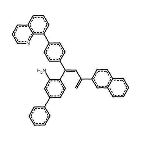 C=C(/C=C(/c1ccc(-c2cccc3cccnc23)cc1)c1ccc(-c2ccccc2)cc1N)c1ccc2ccccc2c1